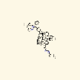 C=C/C=C\C=C/COc1ccc2c(c1C)C(C)(C)C1=C2C(C)(CC)C2=C1c1c(oc3c1CC=CC=C3C1=CC=C(N(C(/C=C3/C=CC=CC3)=C/C=C)c3ccccc3)CC=C1)CC=C2